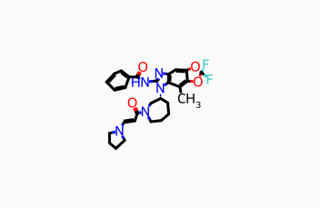 Cc1c2c(cc3nc(NC(=O)c4ccccc4)n([C@@H]4CCCCN(C(=O)/C=C/N5CCCC5)C4)c13)OC(F)(F)O2